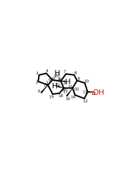 C[C@@]12CCC[C@H]1[C@@H]1CCC3CC(O)CC[C@]3(C)[C@@H]1CC2